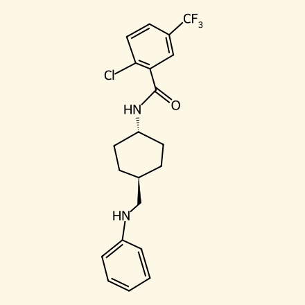 O=C(N[C@H]1CC[C@H](CNc2ccccc2)CC1)c1cc(C(F)(F)F)ccc1Cl